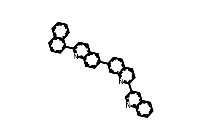 c1ccc2ncc(-c3ccc4ccc(-c5ccc6nc(-c7cccc8ccccc78)ccc6c5)cc4n3)cc2c1